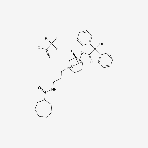 O=C(NCCC[N+]12CCC(CC1)[C@@H](OC(=O)C(O)(c1ccccc1)c1ccccc1)C2)C1CCCCCC1.O=C([O-])C(F)(F)F